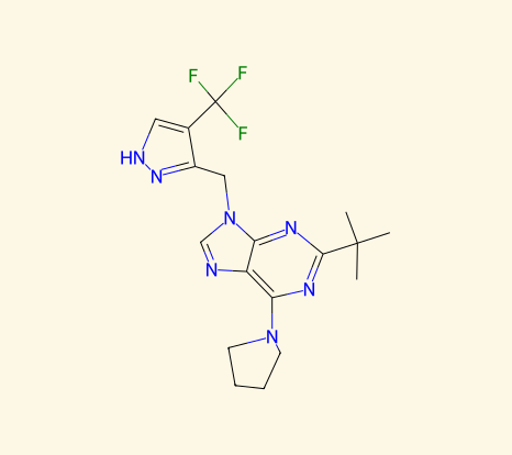 CC(C)(C)c1nc(N2CCCC2)c2ncn(Cc3n[nH]cc3C(F)(F)F)c2n1